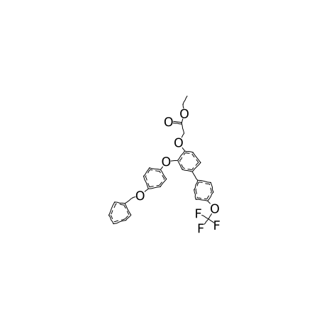 CCOC(=O)COc1ccc(-c2ccc(OC(F)(F)F)cc2)cc1Oc1ccc(OCc2ccccc2)cc1